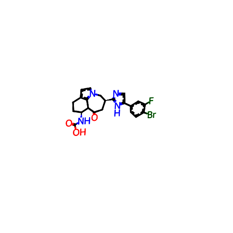 O=C(O)N[C@H]1CCc2ccn3c2C1C(=O)C[C@H](c1ncc(-c2ccc(Br)c(F)c2)[nH]1)C3